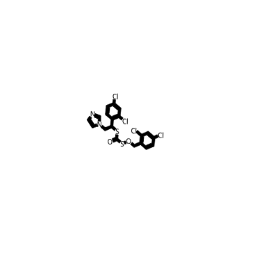 O=C(SOCc1ccc(Cl)cc1Cl)SC(Cn1ccnc1)c1ccc(Cl)cc1Cl